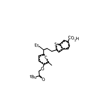 CCC(CCc1cc2ccc(C(=O)O)cc2s1)c1ccc(OCC(=O)C(C)(C)C)c(C)c1